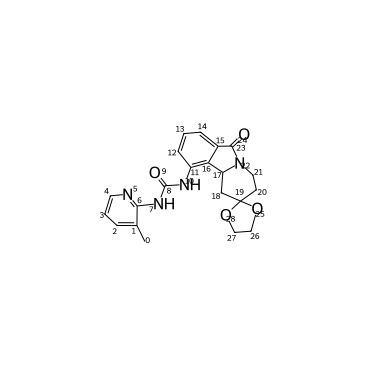 Cc1cccnc1NC(=O)Nc1cccc2c1C1CC3(CCN1C2=O)OCCO3